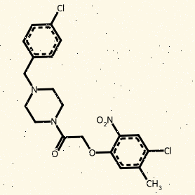 Cc1cc(OCC(=O)N2CCN(Cc3ccc(Cl)cc3)CC2)c([N+](=O)[O-])cc1Cl